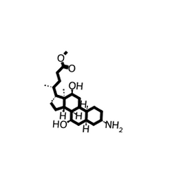 COC(=O)CC[C@@H](C)[C@H]1CC[C@H]2[C@@H]3[C@H](O)C[C@@H]4C[C@@H](N)CC[C@]4(C)[C@H]3C[C@H](O)[C@]12C